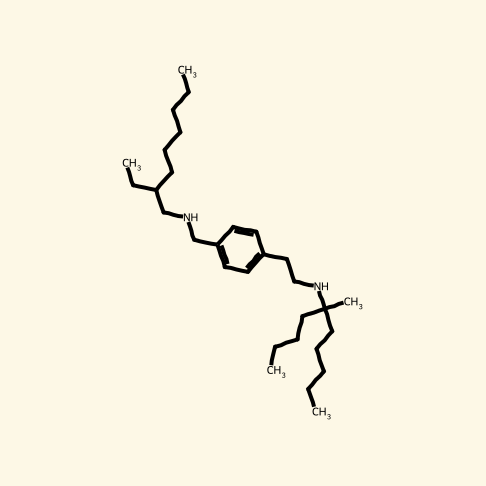 CCCCCCC(CC)CNCc1ccc(CCNC(C)(CCCC)CCCCC)cc1